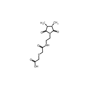 C[C@@H]1C(=O)N(CCNC(=O)CSCC(=O)O)C(=O)[C@@H]1C